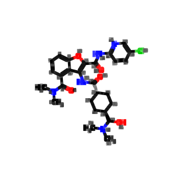 CN(C)C(=O)c1cccc2oc(C(=O)Nc3ccc(Cl)cn3)c(NC(=O)[C@H]3CC[C@H](C(O)N(C)C)CC3)c12